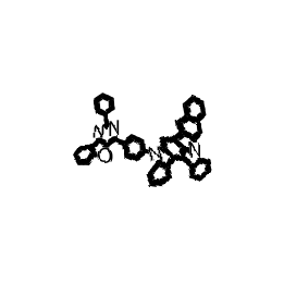 c1ccc(-c2nc(-c3ccc(-n4c5ccccc5c5c6c7ccccc7n7c8cc9ccccc9cc8c(cc54)c67)cc3)c3oc4ccccc4c3n2)cc1